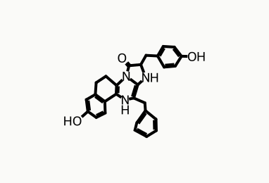 O=C1C(Cc2ccc(O)cc2)NC2=C(Cc3ccccc3)NC3=C(CCc4cc(O)ccc43)N12